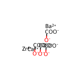 O=C([O-])[O-].O=C([O-])[O-].O=C([O-])[O-].O=C([O-])[O-].[Ba+2].[Ca+2].[Zr+4]